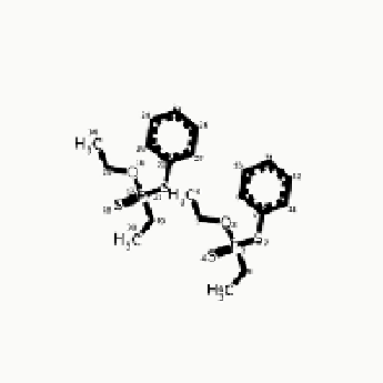 CCOP(=S)(CC)Sc1ccccc1.CCOP(=S)(CC)Sc1ccccc1